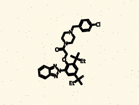 CCC(C)(C)c1cc(-n2nc3ccccc3n2)c(OCC(=O)N2CCN(Cc3ccc(Cl)cc3)CC2)c(C(C)(C)CC)c1